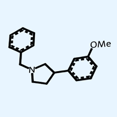 COc1cccc(C2CCN(Cc3ccccc3)C2)c1